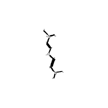 CN(C)/C=C/O/C=C/N(C)C